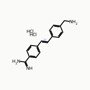 Cl.Cl.N=C(N)c1ccc(/C=C/c2ccc(CN)cc2)cc1